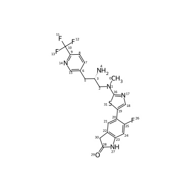 CN(C[C@@H](N)Cc1ccc(C(F)(F)F)nc1)c1ncc(-c2cc3c(cc2F)NC(=O)C3)s1